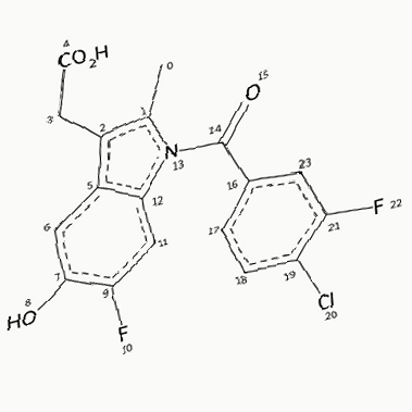 Cc1c(CC(=O)O)c2cc(O)c(F)cc2n1C(=O)c1ccc(Cl)c(F)c1